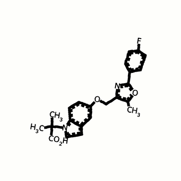 Cc1oc(-c2ccc(F)cc2)nc1COc1ccc2c(ccn2C(C)(C)C(=O)O)c1